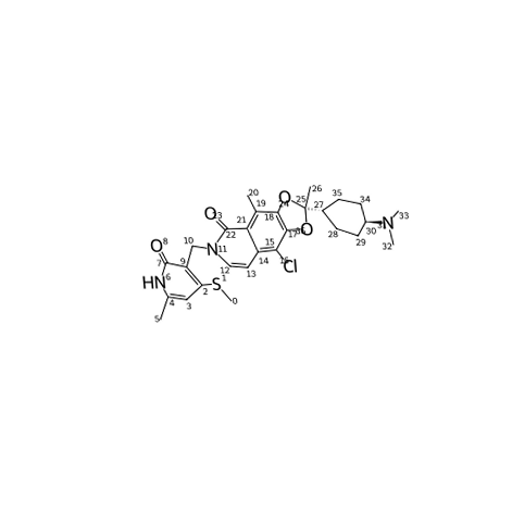 CSc1cc(C)[nH]c(=O)c1Cn1ccc2c(Cl)c3c(c(C)c2c1=O)OC(C)([C@H]1CC[C@H](N(C)C)CC1)O3